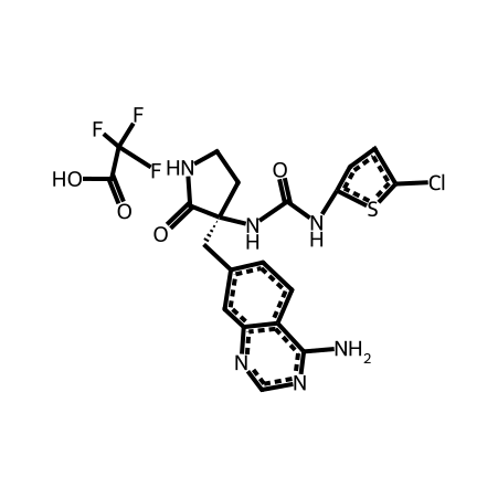 Nc1ncnc2cc(C[C@@]3(NC(=O)Nc4ccc(Cl)s4)CCNC3=O)ccc12.O=C(O)C(F)(F)F